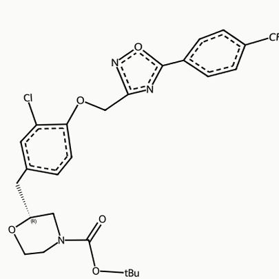 CC(C)(C)OC(=O)N1CCO[C@H](Cc2ccc(OCc3noc(-c4ccc(C(F)(F)F)cc4)n3)c(Cl)c2)C1